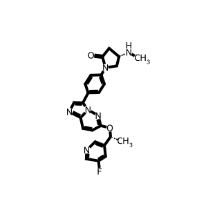 CN[C@H]1CC(=O)N(c2ccc(-c3cnc4ccc(O[C@H](C)c5cncc(F)c5)nn34)cc2)C1